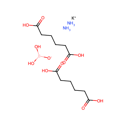 N.N.O=C(O)CCCCC(=O)O.O=C(O)CCCCC(=O)O.[K+].[O-]B(O)O